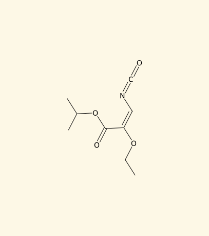 CCOC(=CN=C=O)C(=O)OC(C)C